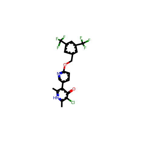 Cc1[nH]c(C)c(-c2ccc(OCc3cc(C(F)(F)F)cc(C(F)(F)F)c3)nc2)c(=O)c1Cl